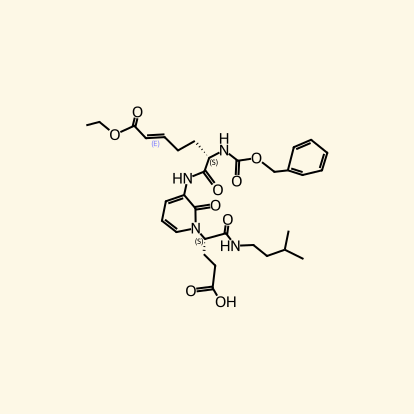 CCOC(=O)/C=C/CC[C@H](NC(=O)OCc1ccccc1)C(=O)Nc1cccn([C@@H](CCC(=O)O)C(=O)NCCC(C)C)c1=O